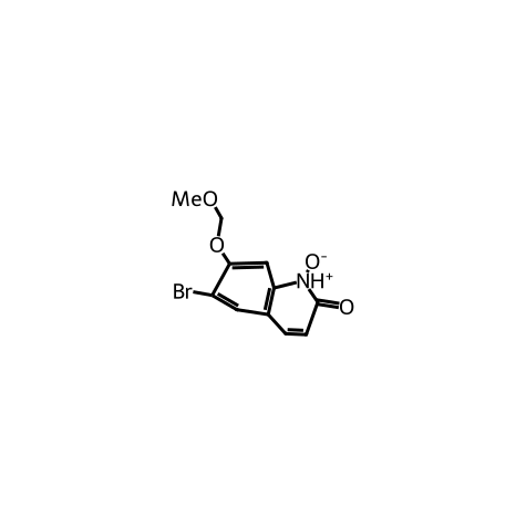 COCOc1cc2c(cc1Br)C=CC(=O)[NH+]2[O-]